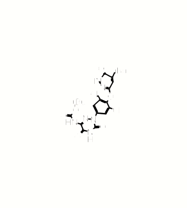 CCC(C)c1cc(Oc2c(Cl)cc(-n3nc(NC(=O)OC(C)(C)C)c(=O)[nH]c3=O)cc2Cl)n[nH]c1=O